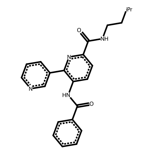 CC(C)CCNC(=O)c1ccc(NC(=O)c2ccccc2)c(-c2cccnc2)n1